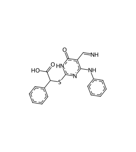 N=Cc1c(Nc2ccccc2)nc(SC(C(=O)O)c2ccccc2)[nH]c1=O